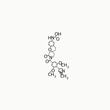 CCOc1cc(C(=O)N2CCC3(CCc4cc(NC(=O)O)ccc4O3)CC2=O)cc(OC)c1-c1cnn(C)c1